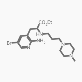 CCOC(=O)C(Cc1cc(Br)cnc1N)NCCCN1CCN(C)CC1